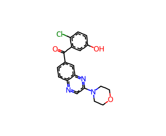 O=C(c1ccc2ncc(N3CCOCC3)nc2c1)c1cc(O)ccc1Cl